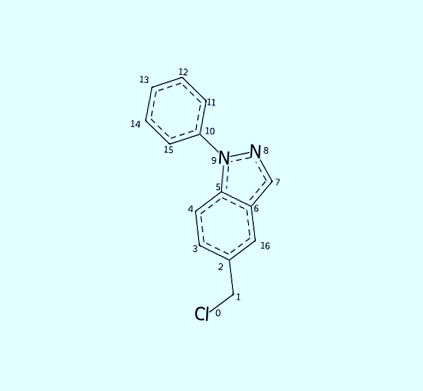 ClCc1ccc2c(cnn2-c2ccccc2)c1